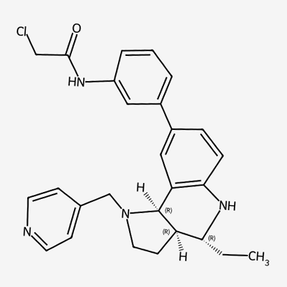 CC[C@H]1Nc2ccc(-c3cccc(NC(=O)CCl)c3)cc2[C@H]2[C@@H]1CCN2Cc1ccncc1